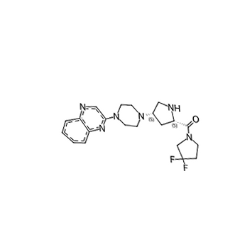 O=C([C@@H]1C[C@H](N2CCN(c3cnc4ccccc4n3)CC2)CN1)N1CCC(F)(F)C1